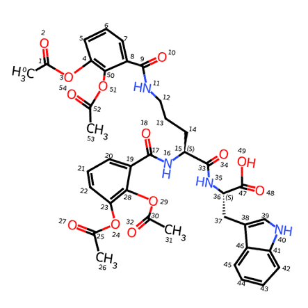 CC(=O)Oc1cccc(C(=O)NCCC[C@H](NC(=O)c2cccc(OC(C)=O)c2OC(C)=O)C(=O)N[C@@H](Cc2c[nH]c3ccccc23)C(=O)O)c1OC(C)=O